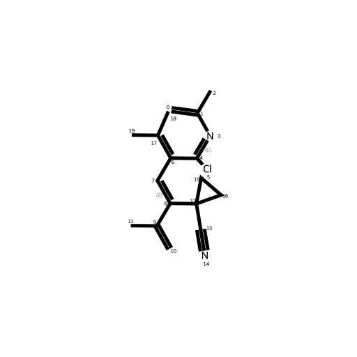 C=C(C)/N=C(/Cl)C(/C=C(/C(=C)C)C1(C#N)CC1)=C(C)C